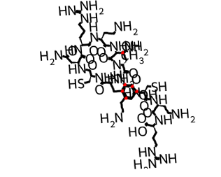 C[C@@H](O)[C@H](NC(=O)[C@H](CCN)NC(=O)[C@H](CCCNC(=N)N)NC(=O)[C@H](CC(N)=O)NC(=O)[C@H](CS)NC(=O)[C@@H](N)Cc1ccc(O)cc1)C(=O)N[C@H](CCN)C(=O)N[C@@H](CCCCN)C(=O)N[C@@H](CS)C(=O)N[C@@H](CCN)C(=O)N[C@@H](CCCNC(=N)N)C(=O)O